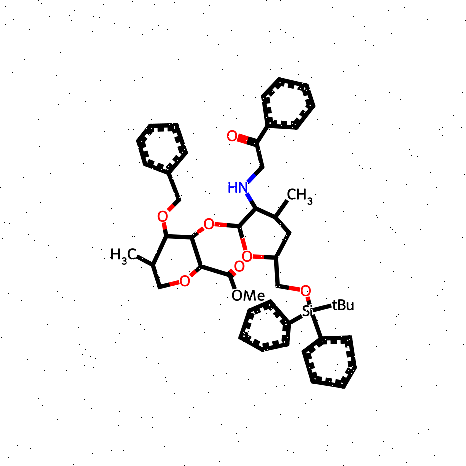 COC(=O)C1OCC(C)C(OCc2ccccc2)C1OC1OC(CO[Si](c2ccccc2)(c2ccccc2)C(C)(C)C)CC(C)C1NCC(=O)c1ccccc1